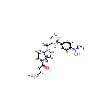 CC(C)C[C@H](NC(=O)c1ccc(N(C)C)cc1)C(=O)N1CC[C@@H]2C1C(=O)CN2C(=O)CCC(=O)O